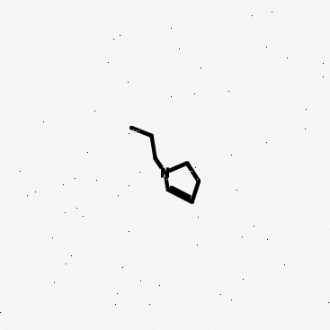 CCCN1C=CCC1